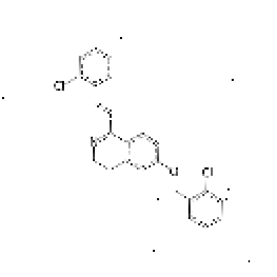 Clc1ccccc1C=CC1=NCCc2cc(OCc3ccccc3Cl)ccc21